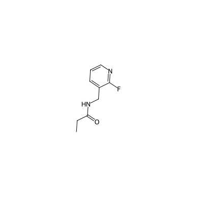 CCC(=O)NCc1cccnc1F